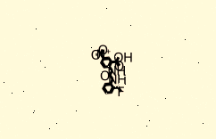 O=C(Nc1ccccc1CF)Nc1ccc([N+](=O)[O-])cc1C(=O)O